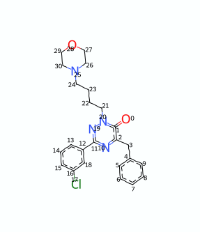 O=c1c(Cc2ccccc2)nc(-c2cccc(Cl)c2)nn1CCCCN1CCOCC1